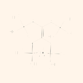 CC(C)(O)CC(CC(C)(C)O)=C(CC(C)(C)O)CC(C)(C)O